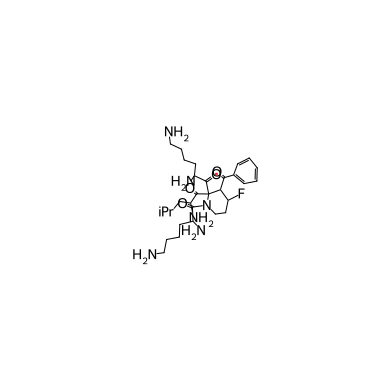 CC(C)CC(N)C(=O)C1(C(=O)C(N)CCCCN)C(C(=O)c2ccccc2)C(F)CCN1C(=O)C(N)CCCCN